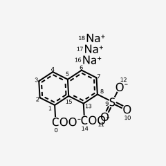 O=C([O-])c1cccc2ccc(S(=O)(=O)[O-])c(C(=O)[O-])c12.[Na+].[Na+].[Na+]